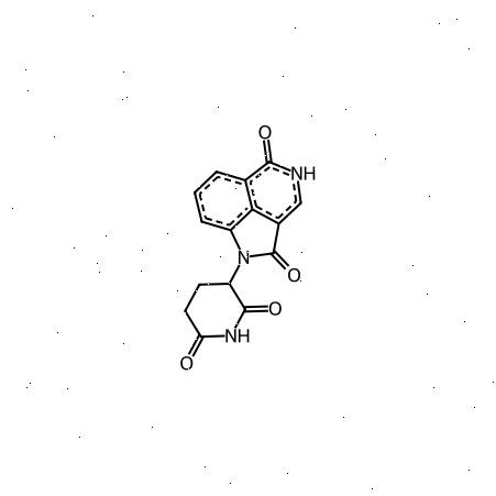 O=C1CCC(N2C(=O)c3c[nH]c(=O)c4cccc2c34)C(=O)N1